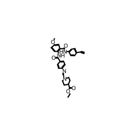 C#Cc1ccc(NC(=O)c2cc(OC)ccc2NC(=O)c2ccc(N=CN3CCC(C(=O)OCC)CC3)cc2)cc1